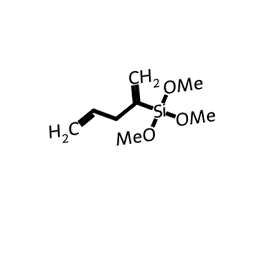 C=CCC(=C)[Si](OC)(OC)OC